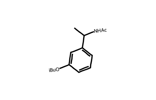 CC(=O)NC(C)c1cccc(OCC(C)C)c1